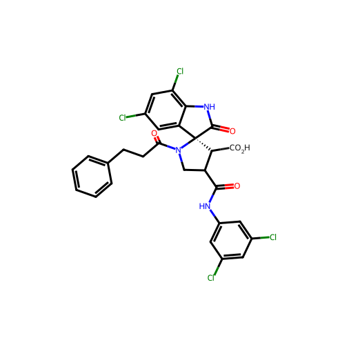 O=C(Nc1cc(Cl)cc(Cl)c1)C1CN(C(=O)CCc2ccccc2)[C@@]2(C(=O)Nc3c(Cl)cc(Cl)cc32)C1C(=O)O